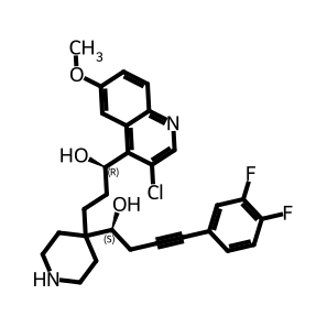 COc1ccc2ncc(Cl)c([C@H](O)CCC3([C@@H](O)CC#Cc4ccc(F)c(F)c4)CCNCC3)c2c1